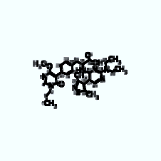 CCCn1cnc(OC)c(-c2ccc(C[C@H](Nc3nc(N(CC)CC)ncc3-c3c(C)nsc3C)C(=O)O)cc2)c1=O